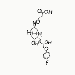 O=C(O)CCO/N=C1/C[C@H]2C[C@H](O)[C@@H](C=CC(O)COc3ccc(F)cc3)[C@@H]2C1